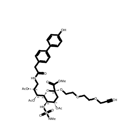 C#CCOCCOCCO[C@]1(C(=O)OC)C[C@H](OC(C)=O)[C@@H](NS(=O)(=O)NC)[C@H]([C@H](OC(C)=O)[C@@H](CNC(=O)Cc2ccc(-c3ccc(O)cc3)cc2)OC(C)=O)O1